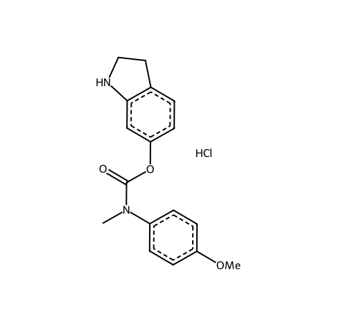 COc1ccc(N(C)C(=O)Oc2ccc3c(c2)NCC3)cc1.Cl